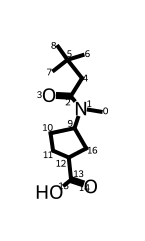 CN(C(=O)CC(C)(C)C)C1CCC(C(=O)O)C1